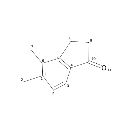 Cc1ccc2c(c1C)CCC2=O